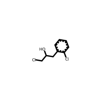 OC(CCl)Cc1ccccc1Cl